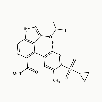 CNC(=O)c1ncc2[nH]nc(OC(F)F)c2c1-c1cc(C)c(S(=O)(=O)C2CC2)cc1F